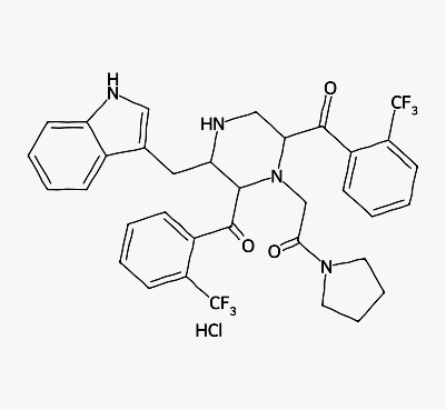 Cl.O=C(c1ccccc1C(F)(F)F)C1CNC(Cc2c[nH]c3ccccc23)C(C(=O)c2ccccc2C(F)(F)F)N1CC(=O)N1CCCC1